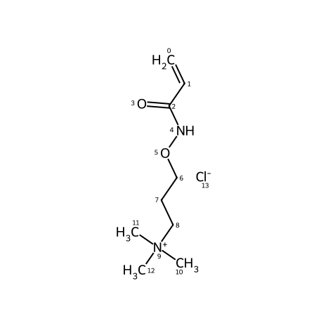 C=CC(=O)NOCCC[N+](C)(C)C.[Cl-]